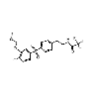 COCOc1cc(S(=O)(=O)c2ccc(CCNC(=O)C(F)(F)F)cc2)ccc1O